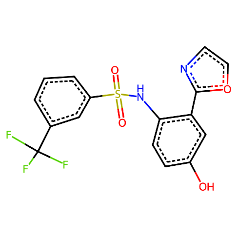 O=S(=O)(Nc1ccc(O)cc1-c1ncco1)c1cccc(C(F)(F)F)c1